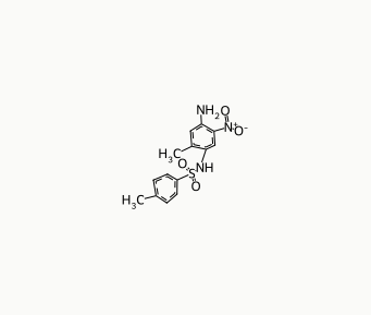 Cc1ccc(S(=O)(=O)Nc2cc([N+](=O)[O-])c(N)cc2C)cc1